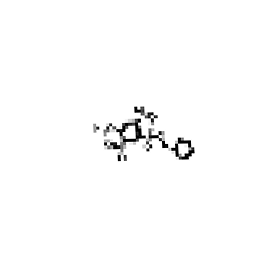 Cc1cc([N+](=O)[O-])c(S(=O)(=O)OCc2ccccc2)cc1[N+](=O)[O-]